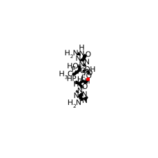 CC1PC[C@@H]2[C@H](F)[C@@H](COP(=O)(O)O[C@@H]([C@@H](O)n3cnc4c(=O)[nH]c(N)nc43)[C@@H]1F)O[C@H]2n1cnc2c(N)ncnc21